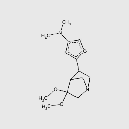 COC1(OC)CN2CC(c3nc(N(C)C)no3)C1C2